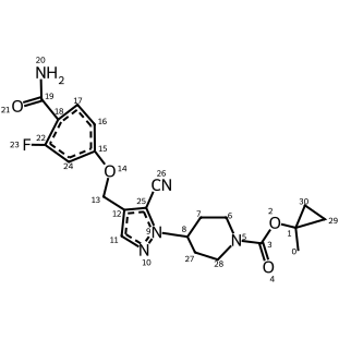 CC1(OC(=O)N2CCC(n3ncc(COc4ccc(C(N)=O)c(F)c4)c3C#N)CC2)CC1